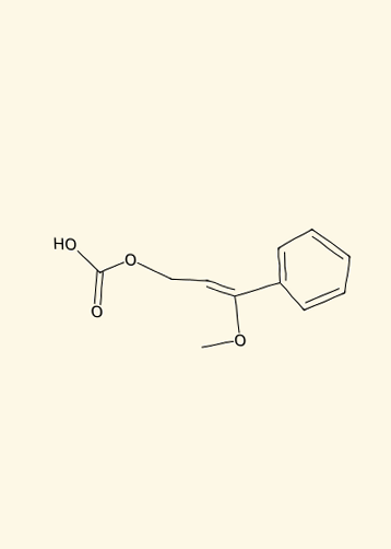 COC(=CCOC(=O)O)c1ccccc1